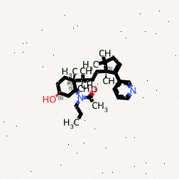 CCCN(C(C)=O)[C@@]1(C)C[C@@H](O)CC[C@]1(C)C(C)(C)CC[C@]1(C)C(c2cccnc2)=CCC1(C)C